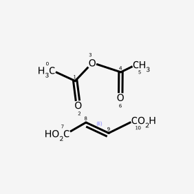 CC(=O)OC(C)=O.O=C(O)/C=C/C(=O)O